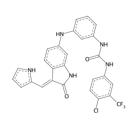 O=C(Nc1cccc(Nc2ccc3c(c2)NC(=O)C3=Cc2ccc[nH]2)c1)Nc1ccc(Cl)c(C(F)(F)F)c1